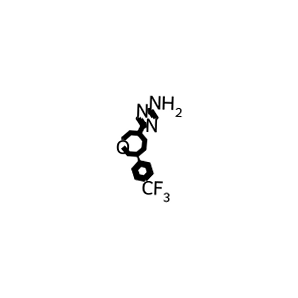 Nc1cnc(C2CCOC[C@H](c3ccc(C(F)(F)F)cc3)CC2)cn1